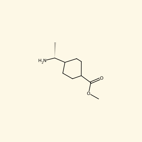 COC(=O)C1CCC([C@@H](C)N)CC1